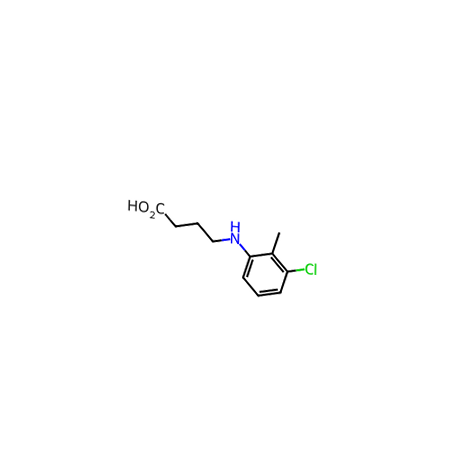 Cc1c(Cl)cccc1NCCCC(=O)O